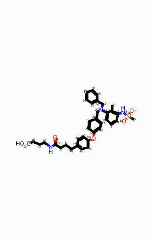 Cc1c(NS(C)(=O)=O)cccc1N(Cc1ccccc1)Cc1ccc(Oc2ccc(CCCC(=O)NCCCC(=O)O)cc2)cc1